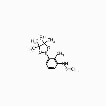 CSNc1cccc(B2OC(C)(C)C(C)(C)O2)c1C